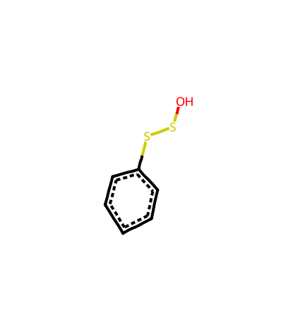 OSSc1ccccc1